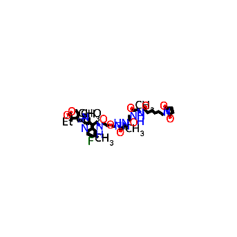 CCC1C(=O)OCC(C=O)C1/C=C1/c2nc3cc(F)c(C)cc3c(CNC(=O)COCNC(=O)[C@H](C)NC(=O)CNC(=O)C(C)NC(=O)CCCCCN3C(=O)C=CC3=O)c2CN1C